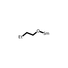 CCCC[O][Sm]